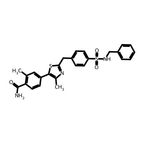 Cc1cc(-c2sc(Cc3ccc(S(=O)(=O)NCc4ccccc4)cc3)nc2C)ccc1C(N)=O